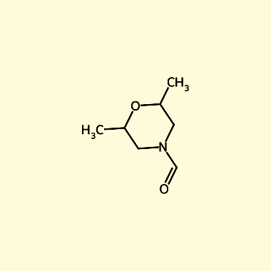 CC1CN(C=O)CC(C)O1